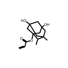 C=CC(=O)OC12CC3(O)CC(O)(CC(C)(C3)C1C)C2